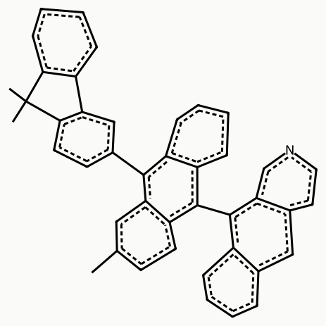 Cc1ccc2c(-c3c4ccccc4cc4ccncc34)c3ccccc3c(-c3ccc4c(c3)-c3ccccc3C4(C)C)c2c1